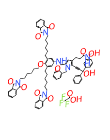 O=C(CCc1cc(C(=O)Nc2cc(CCCCCCN3C(=O)c4ccccc4C3=O)c(OCCCCCCN3C(=O)c4ccccc4C3=O)c(CCCCCCN3C(=O)c4ccccc4C3=O)c2)n(Cc2ccccc2)c1C#CC(O)(c1ccccc1)c1ccccc1)NO.O=C(O)C(F)(F)F